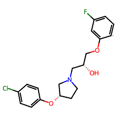 O[C@@H](COc1[c]ccc(F)c1)CN1CC[C@H](Oc2ccc(Cl)cc2)C1